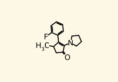 CC1CC(=O)C(N2CCCC2)=C1c1ccccc1F